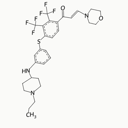 CCCN1CCC(Nc2cccc(Sc3ccc(C(=O)C=CN4CCOCC4)c(C(F)(F)F)c3C(F)(F)F)c2)CC1